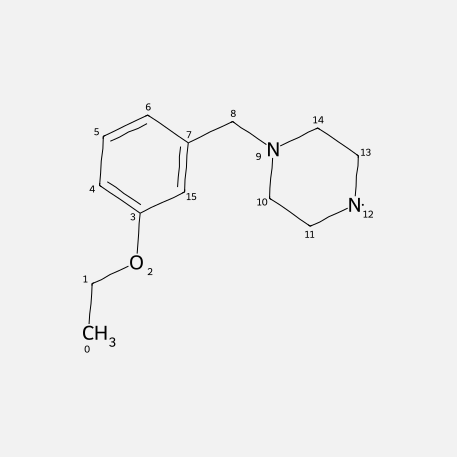 CCOc1cccc(CN2CC[N]CC2)c1